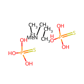 CC.CCC.CNC.OP(O)(O)=S.OP(O)(O)=S